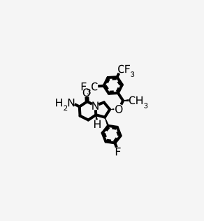 C[C@@H](O[C@H]1CN2C(=O)C(N)CC[C@H]2[C@@H]1c1ccc(F)cc1)c1cc(C(F)(F)F)cc(C(F)(F)F)c1